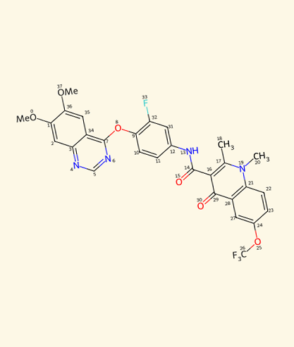 COc1cc2ncnc(Oc3ccc(NC(=O)c4c(C)n(C)c5ccc(OC(F)(F)F)cc5c4=O)cc3F)c2cc1OC